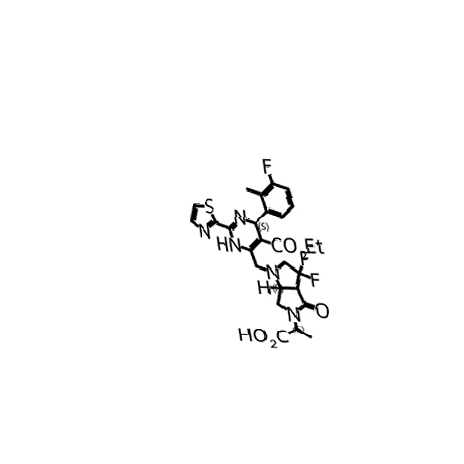 CCOC(=O)C1=C(CN2CC(F)(F)C3C(=O)N([C@@H](C)C(=O)O)C[C@@H]32)NC(c2nccs2)=N[C@H]1c1cccc(F)c1C